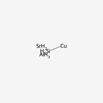 [AlH3].[SiH3][Cu].[SrH2]